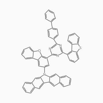 c1ccc(-c2ccc(-c3nc(-c4cc(-n5c6cc7ccccc7cc6c6cc7ccccc7cc65)cc5c4oc4ccccc45)nc(-c4cccc5sc6ccccc6c45)n3)cc2)cc1